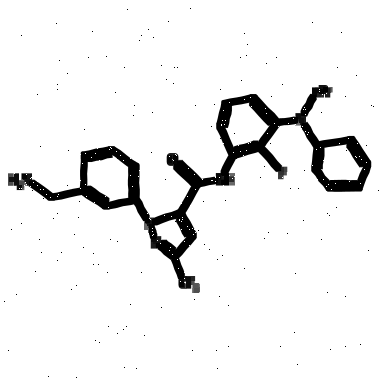 CCCN(c1ccccc1)c1cccc(NC(=O)c2cc(C(F)(F)F)nn2-c2cccc(CN)c2)c1F